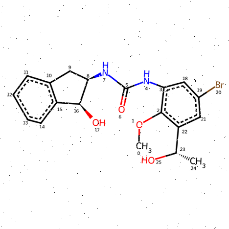 COc1c(NC(=O)N[C@@H]2Cc3ccccc3[C@@H]2O)cc(Br)cc1[C@H](C)O